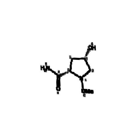 CON1C[C@@H](O)C[C@H]1C(N)=O